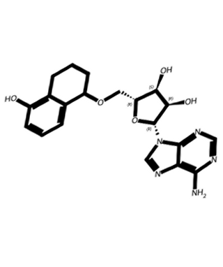 Nc1ncnc2c1ncn2[C@@H]1O[C@H](COC2CCCc3c(O)cccc32)[C@@H](O)[C@H]1O